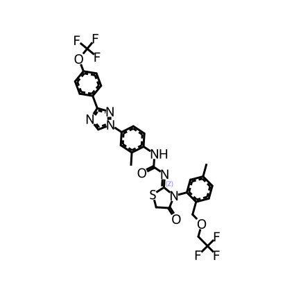 Cc1ccc(COCC(F)(F)F)c(N2C(=O)CS/C2=N\C(=O)Nc2ccc(-n3cnc(-c4ccc(OC(F)(F)F)cc4)n3)cc2C)c1